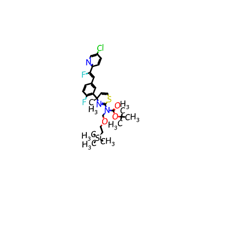 CC(C)(C)OC(=O)N(COCC[Si](C)(C)C)C1=N[C@](C)(c2cc(/C=C(\F)c3ccc(Cl)cn3)ccc2F)C=CS1